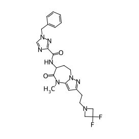 CN1C(=O)C(NC(=O)c2ncn(Cc3ccccc3)n2)CCn2nc(CCN3CC(F)(F)C3)cc21